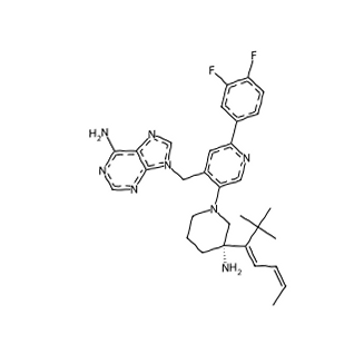 C/C=C\C=C(/C(C)(C)C)[C@@]1(N)CCCN(c2cnc(-c3ccc(F)c(F)c3)cc2Cn2cnc3c(N)ncnc32)C1